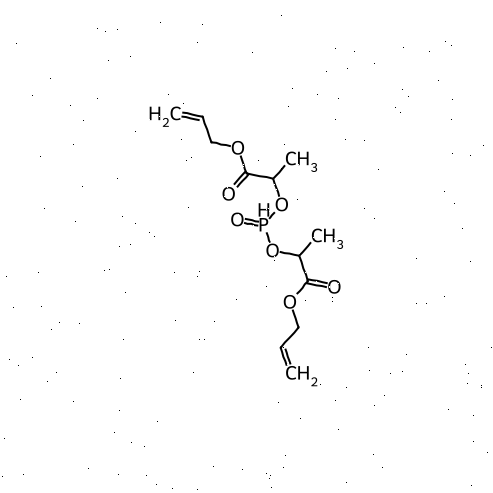 C=CCOC(=O)C(C)O[PH](=O)OC(C)C(=O)OCC=C